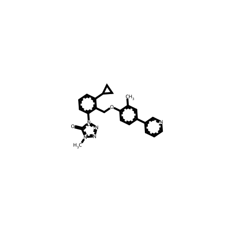 Cc1cc(-c2cccnc2)ccc1OCc1c(C2CC2)cccc1-n1nnn(C)c1=O